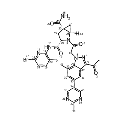 CC(=O)c1nn(CC(=O)N2[C@H](C(=O)Nc3nc(Br)ccc3C)C[C@@]3(C(N)=O)C[C@@H]23)c2c(C)cc(-c3cnc(C)nc3)cc12